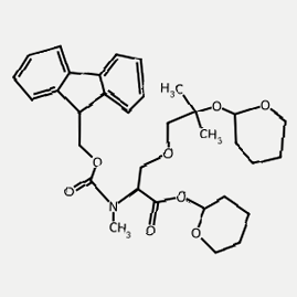 CN(C(=O)OCC1c2ccccc2-c2ccccc21)C(COCC(C)(C)OC1CCCCO1)C(=O)OC1CCCCO1